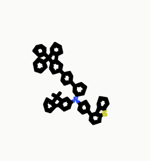 CC1(C)c2ccccc2-c2ccc(N(c3ccc(-c4cccc5sc6ccccc6c45)cc3)c3cccc(-c4ccc(-c5ccc6c(c5)-c5ccccc5C6(c5ccccc5)c5ccccc5)cc4)c3)cc21